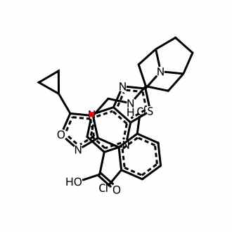 O=C(O)c1cnc2nc(N3C4CCC3CC(NCc3c(-c5c(Cl)cccc5Cl)noc3C3CC3)C4)sc2n1